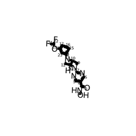 O=C(NO)c1cnc(N2CC3[C@H]2CN3c2cccc(OC(F)F)c2)nc1